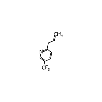 C=CCc1ccc(C(F)(F)F)cn1